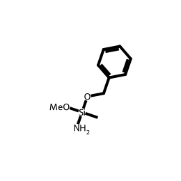 CO[Si](C)(N)OCc1ccccc1